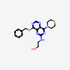 OCCNc1nc(N2CCSCC2)c2ncnc(SCc3ccccc3)c2n1